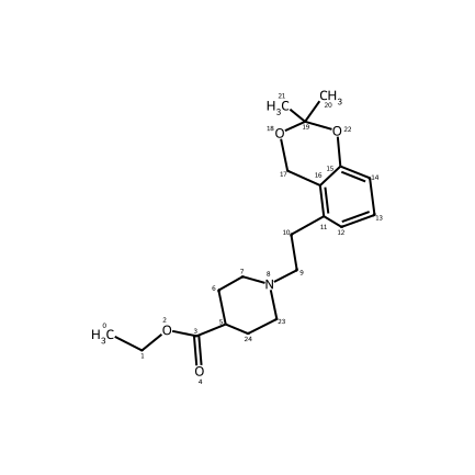 CCOC(=O)C1CCN(CCc2cccc3c2COC(C)(C)O3)CC1